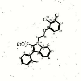 CCOC(=O)c1c(-c2ccccc2C)c2ccccc2n1CCOc1cccc(Cl)c1Cl